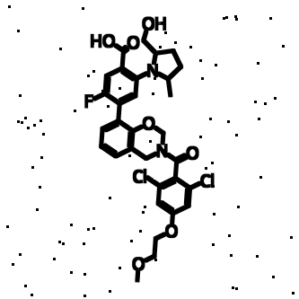 COCCOc1cc(Cl)c(C(=O)N2COc3c(cccc3-c3cc(N4C(C)CCC4CO)c(C(=O)O)cc3F)C2)c(Cl)c1